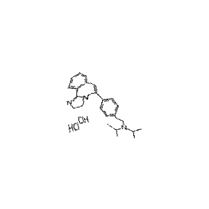 CC(C)N(Cc1ccc(C2=Cc3ccccc3C3=NCCN23)cc1)C(C)C.Cl.Cl